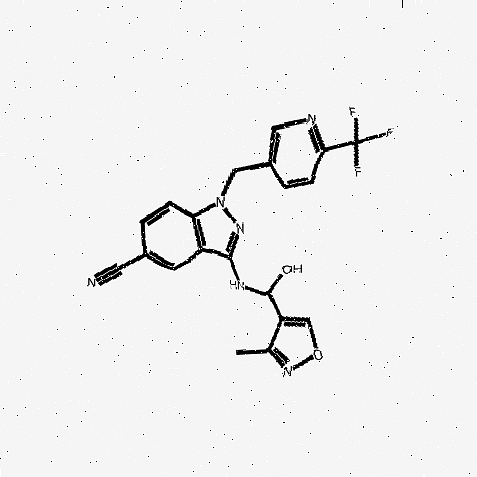 Cc1nocc1C(O)Nc1nn(Cc2ccc(C(F)(F)F)nc2)c2ccc(C#N)cc12